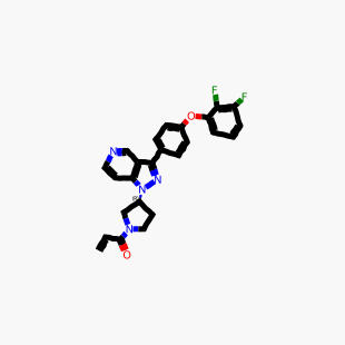 C=CC(=O)N1CC[C@@H](n2nc(-c3ccc(Oc4cccc(F)c4F)cc3)c3cnccc32)C1